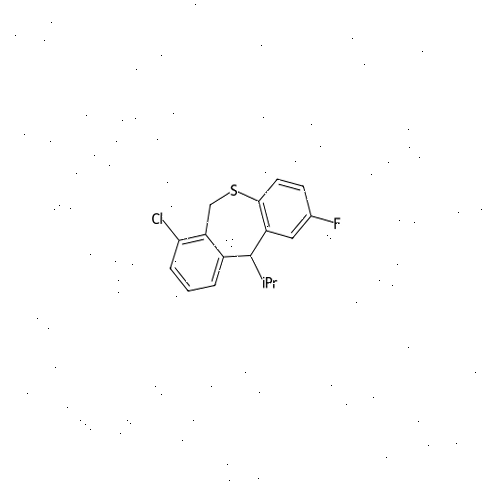 CC(C)C1c2cc(F)ccc2SCc2c(Cl)cccc21